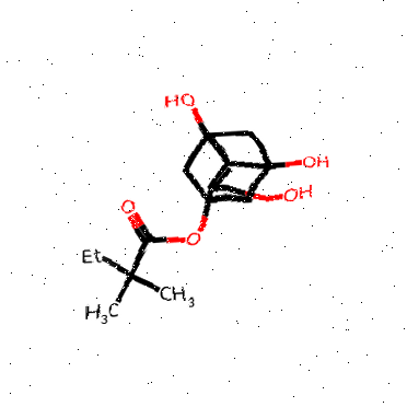 CCC(C)(C)C(=O)OC12CC(O)=C3C(O)(C1)CC3(O)C2